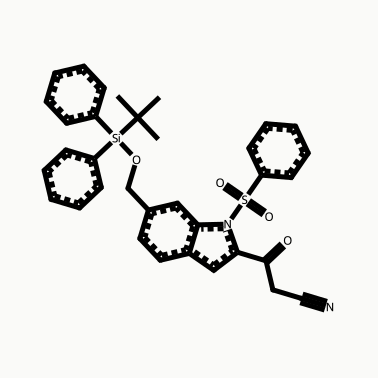 CC(C)(C)[Si](OCc1ccc2cc(C(=O)CC#N)n(S(=O)(=O)c3ccccc3)c2c1)(c1ccccc1)c1ccccc1